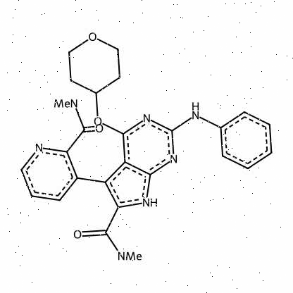 CNC(=O)c1ncccc1-c1c(C(=O)NC)[nH]c2nc(Nc3ccccc3)nc(OC3CCOCC3)c12